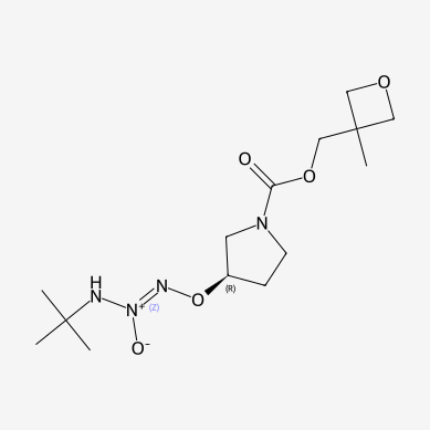 CC1(COC(=O)N2CC[C@@H](O/N=[N+](\[O-])NC(C)(C)C)C2)COC1